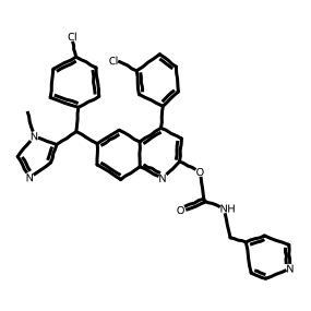 Cn1cncc1C(c1ccc(Cl)cc1)c1ccc2nc(OC(=O)NCc3ccncc3)cc(-c3cccc(Cl)c3)c2c1